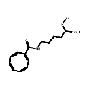 CCNC(CCCCNC(=O)C1=C/C=C\C=C/C=C\1)C(=O)O